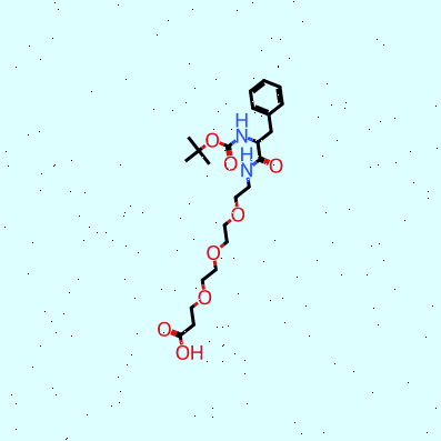 CC(C)(C)OC(=O)NC(Cc1ccccc1)C(=O)NCCOCCOCCOCCC(=O)O